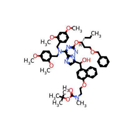 CCC[C@H](CCOCc1ccccc1)Oc1nc(N(Cc2ccc(OC)cc2OC)Cc2ccc(OC)cc2OC)c2ncc(C(O)c3ccc(OCCN(C)C(=O)OC(C)(C)C)c4ccccc34)n2n1